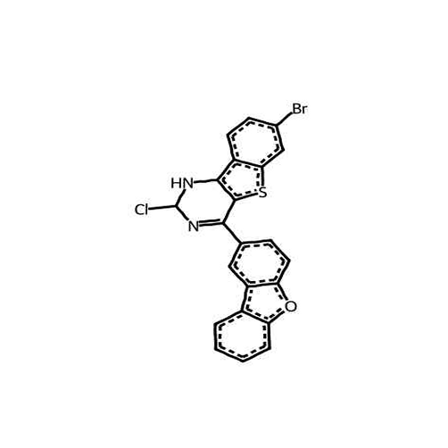 ClC1N=C(c2ccc3oc4ccccc4c3c2)c2sc3cc(Br)ccc3c2N1